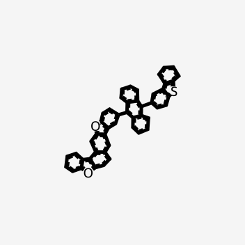 c1ccc2c(c1)oc1ccc3cc4c(cc3c12)oc1ccc(-c2c3ccccc3c(-c3ccc5sc6ccccc6c5c3)c3ccccc23)cc14